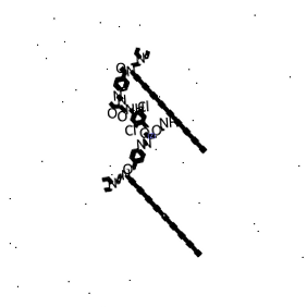 C#CC#CC#CC#CC#CC#CC#CC#CC#CN(CCN(CC)CC)OCc1ccc(N=N/C(=C/OC=N)OCc2cc(Cl)c(NC(=O)C(N=Nc3ccc(C(=O)N(C#CC#CC#CC#CC#CC#CC#CC#CC#C)CCN(CC)CC)cc3)C(C)=O)cc2Cl)cc1